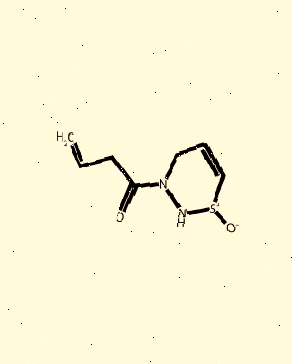 C=CCC(=O)N1CC=C[S+]([O-])N1